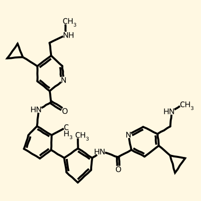 CNCc1cnc(C(=O)Nc2cccc(-c3cccc(NC(=O)c4cc(C5CC5)c(CNC)cn4)c3C)c2C)cc1C1CC1